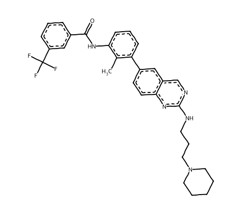 Cc1c(NC(=O)c2cccc(C(F)(F)F)c2)cccc1-c1ccc2nc(NCCCN3CCCCC3)ncc2c1